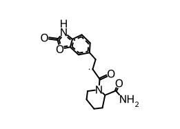 NC(=O)C1CCCCN1C(=O)[CH]Cc1ccc2[nH]c(=O)oc2c1